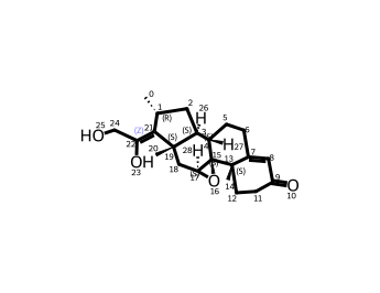 C[C@@H]1C[C@H]2[C@@H]3CCC4=CC(=O)CC[C@]4(C)[C@@]34O[C@H]4C[C@]2(C)/C1=C(\O)CO